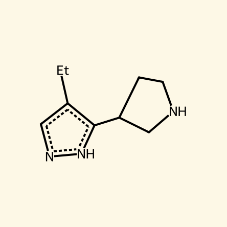 CCc1cn[nH]c1C1CCNC1